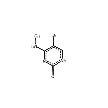 O=c1nc(NO)c(Br)c[nH]1